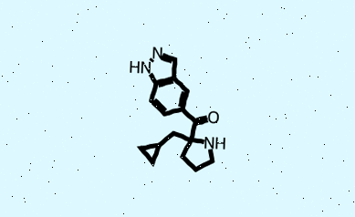 O=C(c1ccc2[nH]ncc2c1)C1(CC2CC2)CCCN1